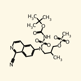 CC(COS(C)(=O)=O)CN(c1ccc2c(C#N)nccc2c1)S(=O)(=O)NC(=O)OC(C)(C)C